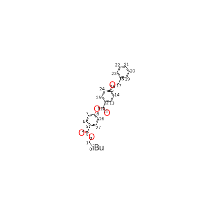 CCC(C)COC(=O)c1ccc(OC(=O)c2ccc(OCc3ccccc3)cc2)cc1